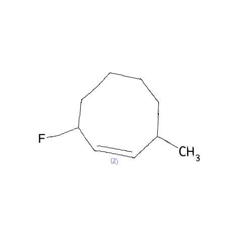 CC1/C=C\C(F)CCCC1